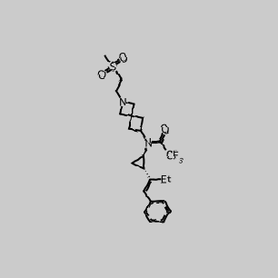 CC/C(=C\c1ccccc1)[C@@H]1C[C@H]1N(C(=O)C(F)(F)F)C1CC2(C1)CN(CCS(C)(=O)=O)C2